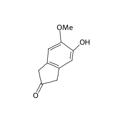 COc1cc2c(cc1O)CC(=O)C2